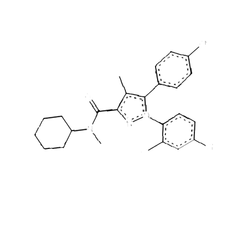 Cc1c(C(=O)N(C)C2CCCCC2)nn(-c2ccc(Cl)cc2Cl)c1-c1ccc(C#N)cc1